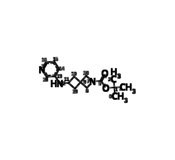 CC(C)(C)OC(=O)N1CC2(CC(Nc3cccnc3)C2)C1